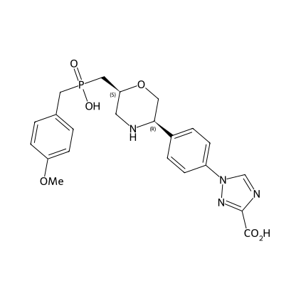 COc1ccc(CP(=O)(O)C[C@@H]2CN[C@H](c3ccc(-n4cnc(C(=O)O)n4)cc3)CO2)cc1